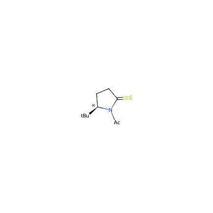 CC(=O)N1C(=S)CC[C@@H]1C(C)(C)C